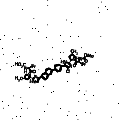 COC(=O)N[C@H](C(=O)N1C[C@@H](C)C[C@H]1c1nc(Cl)c(-c2ccc(-c3ccc4cc(-c5c[nH]c([C@@H]6C[C@H](C)CN6C(=O)[C@@H](NC(=O)O)C(C)C)n5)ccc4c3)cc2)[nH]1)C(C)C